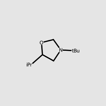 CC(C)C1CN(C(C)(C)C)CO1